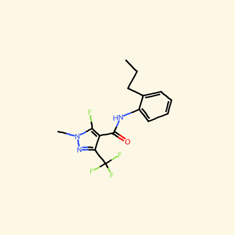 CCCc1ccccc1NC(=O)c1c(C(F)(F)F)nn(C)c1F